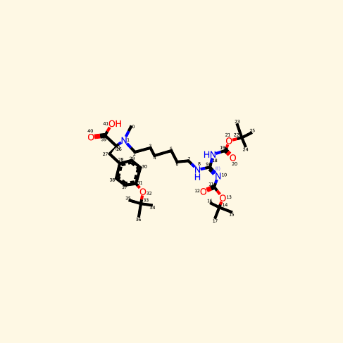 CN(CCCCCCN/C(=N\C(=O)OC(C)(C)C)NC(=O)OC(C)(C)C)[C@@H](Cc1ccc(OC(C)(C)C)cc1)C(=O)O